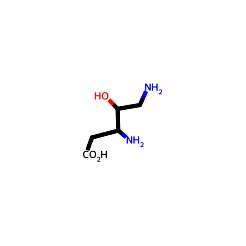 NCC(O)C(N)CC(=O)O